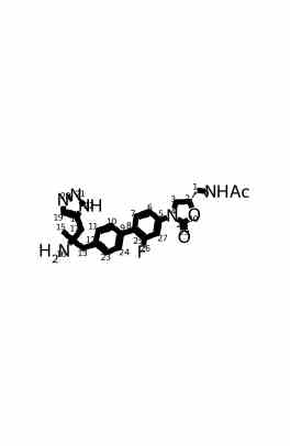 CC(=O)NC[C@H]1CN(c2ccc(-c3ccc(CC(C)(N)Cc4cnn[nH]4)cc3)c(F)c2)C(=O)O1